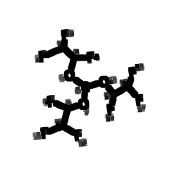 FC(F)C(F)OB(OC(F)C(F)F)OC(F)C(F)F